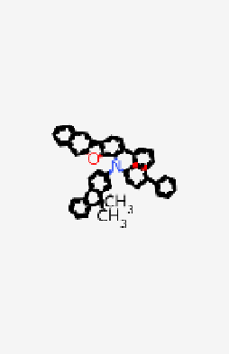 CC1(C)c2ccccc2-c2ccc(N(c3ccc(-c4ccccc4)cc3)c3c(-c4ccccc4)ccc4c3oc3cc5ccccc5cc34)cc21